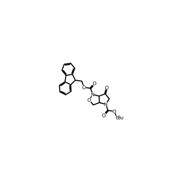 CC(C)(C)OC(=O)N1CC(=O)C2C1CON2C(=O)OCC1c2ccccc2-c2ccccc21